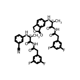 C[C@H](Nc1ccc2c(c1)C(=O)OC2)C(=O)NC(=O)Cc1cc(F)cc(F)c1.C[C@H](Nc1cccc(C#N)c1)C(=O)NC(=O)Cc1cc(F)cc(F)c1